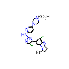 CCC1CCc2nc3c(F)cc(-c4nc(Nc5ccc(N6CCN(C(=O)O)CC6)cn5)ncc4F)cc3n21